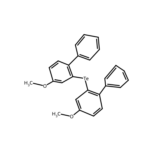 COc1ccc(-c2ccccc2)c([Te]c2cc(OC)ccc2-c2ccccc2)c1